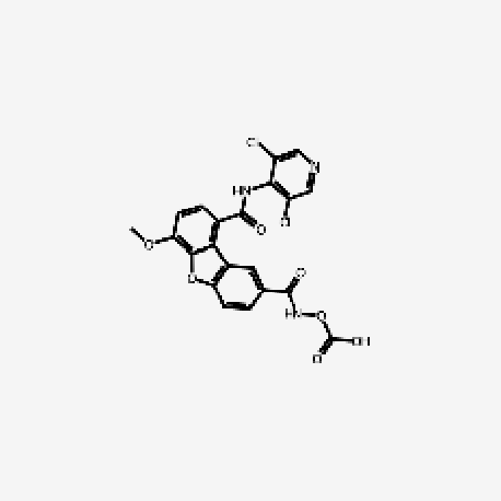 COc1ccc(C(=O)Nc2c(Cl)cncc2Cl)c2c1oc1ccc(C(=O)NOC(=O)O)cc12